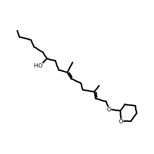 CCCCCC(O)CC/C(C)=C/CC/C(C)=C/COC1CCCCO1